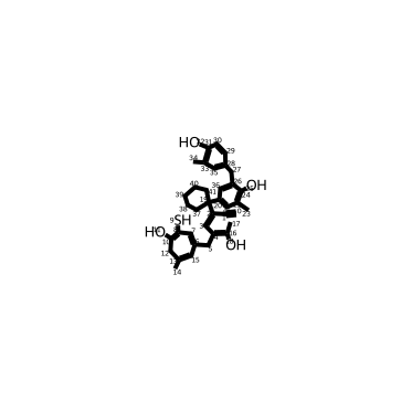 C#C/C(=C\C(CC1=CC(S)=C(O)CC(C)=C1)=C(/C)O)C1(c2cc(C)c(O)c(Cc3ccc(O)c(C)c3)c2)CCCCC1